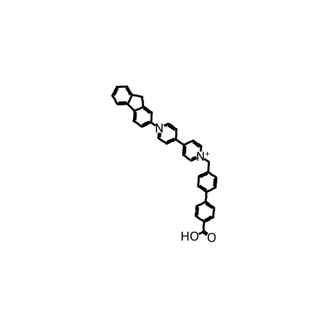 O=C(O)c1ccc(-c2ccc(C[n+]3ccc(-c4cc[n+](-c5ccc6c(c5)Cc5ccccc5-6)cc4)cc3)cc2)cc1